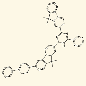 CC1(C)C2=CC(C3=NC(C4=CC5C(C=C4)c4cc(C6=CC=C(c7ccccc7)CC6)ccc4C5(C)C)NC(c4ccccc4)=N3)CC=C2c2ccccc21